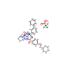 NC1CC2CCC(C1)N2C(=O)[C@@H](NS(=O)(=O)c1ccc(OCC2CCCCC2)cc1)C(F)(F)c1cccc(-c2ccccc2)c1.O=C(O)C(F)(F)F